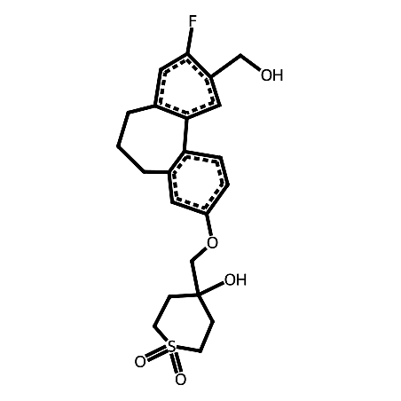 O=S1(=O)CCC(O)(COc2ccc3c(c2)CCCc2cc(F)c(CO)cc2-3)CC1